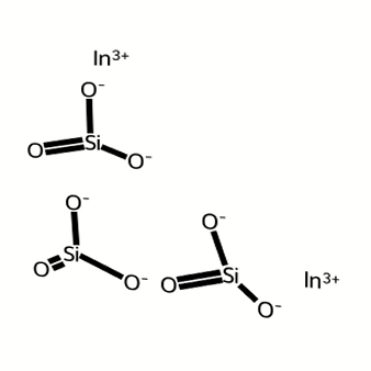 O=[Si]([O-])[O-].O=[Si]([O-])[O-].O=[Si]([O-])[O-].[In+3].[In+3]